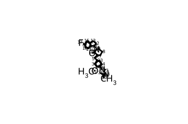 COc1cc(/C=C2\CCCN([C@@H]3CCc4cc(F)ccc43)C2=O)ccc1-n1cnc(C)c1